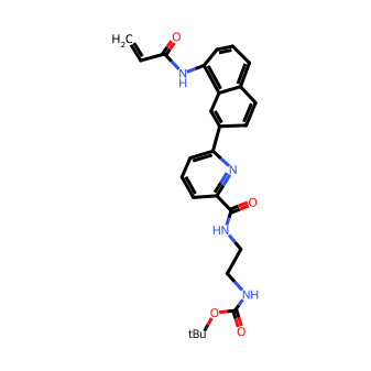 C=CC(=O)Nc1cccc2ccc(-c3cccc(C(=O)NCCNC(=O)OC(C)(C)C)n3)cc12